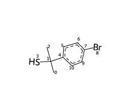 CC(C)(S)c1ccc(Br)cc1